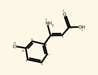 NC(=CC(=O)O)c1cccc(Cl)c1